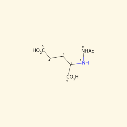 CC(=O)NNC(CCC(=O)O)C(=O)O